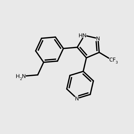 NCc1cccc(-c2[nH]nc(C(F)(F)F)c2-c2ccncc2)c1